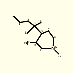 CCCC(C)(C)C1CCN(C)CC1F